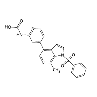 Cc1ncc(-c2ccnc(NC(=O)O)c2)c2ccn(S(=O)(=O)c3ccccc3)c12